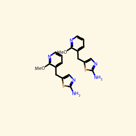 COc1ncccc1Cc1cnc(N)s1.COc1ncccc1Cc1cnc(N)s1